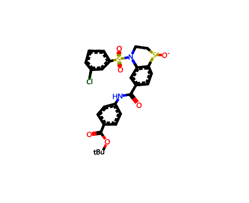 CC(C)(C)OC(=O)c1ccc(NC(=O)c2ccc3c(c2)N(S(=O)(=O)c2cccc(Cl)c2)CC[S+]3[O-])cc1